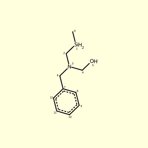 C[SiH2]CN(CO)Cc1ccccc1